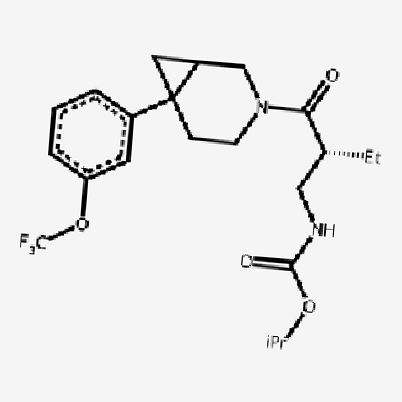 CC[C@H](CNC(=O)OC(C)C)C(=O)N1CCC2(c3cccc(OC(F)(F)F)c3)CC2C1